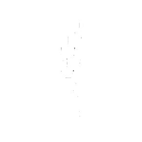 CC12CCC(O)CC1CC[C@@H]1C2CCC2(C)C1CC[C@@H]2CCCCCO